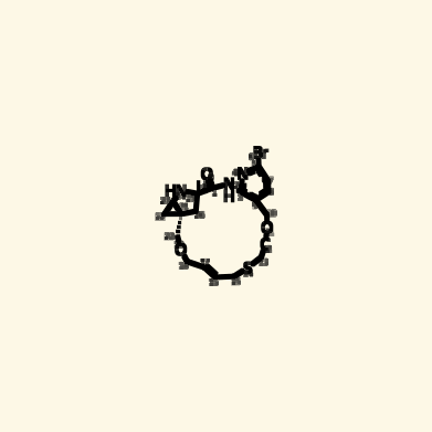 O=C1Nc2nc(Br)ccc2COCCSC/C=C/COC[C@]23CC2N[C@H]1C3